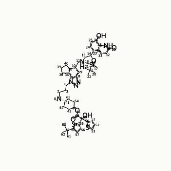 CN(CCCn1nnc2cc(CNCC(O[Si](C)(C)C(C)(C)C)c3ccc(O)c4[nH]c(=O)ccc34)c3c(c21)CCC3)[C@H]1CC[C@H](OC(=O)[C@@](O)(c2cccs2)c2ccc(C(C)(C)C)s2)CC1